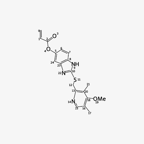 C=CC(=O)Oc1ccc2[nH]c(SCc3ncc(C)c(OC)c3C)nc2c1